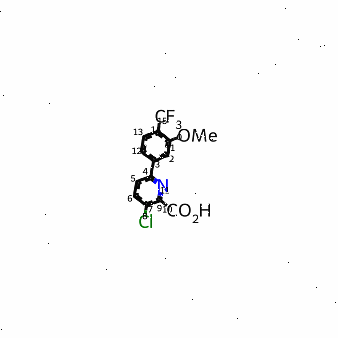 COc1cc(-c2ccc(Cl)c(C(=O)O)n2)ccc1C(F)(F)F